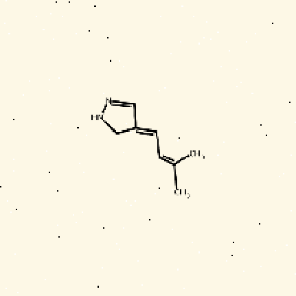 CC(C)=C/C=C1/C=NNC1